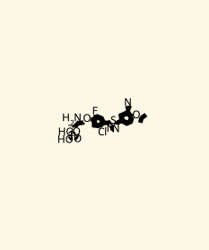 CC(C)Oc1ccc(-c2nnc(-c3cc(F)c(OC[C@@H](N)[C@@H](C)OP(=O)(O)O)cc3Cl)s2)cc1C#N